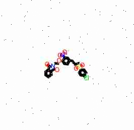 O=C1c2ccccc2C(=O)N1CCOc1ccc(CCCS(=O)(=O)c2ccc(Cl)cc2)cc1[N+](=O)[O-]